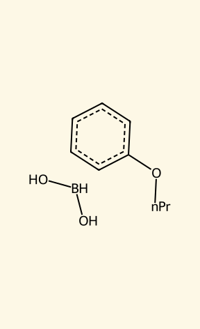 CCCOc1ccccc1.OBO